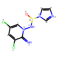 N=c1c(Cl)cc(Cl)cn1N[S+]([O-])n1ccnc1